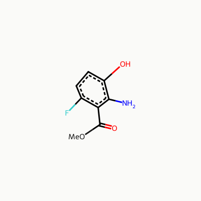 COC(=O)c1c(F)ccc(O)c1N